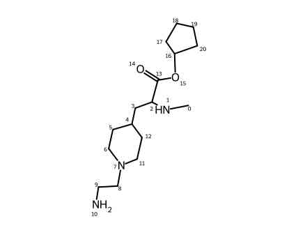 CNC(CC1CCN(CCN)CC1)C(=O)OC1CCCC1